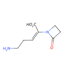 NCCC=C(C(=O)O)N1CCC1=O